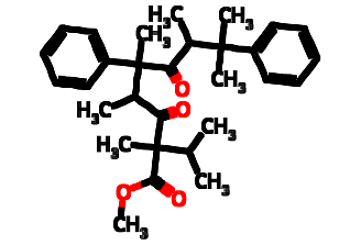 COC(=O)C(C)(C(=O)C(C)C(C)(C(=O)C(C)C(C)(C)c1ccccc1)c1ccccc1)C(C)C